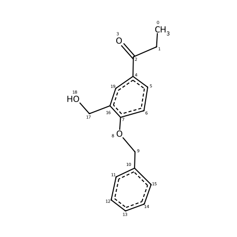 CCC(=O)c1ccc(OCc2ccccc2)c(CO)c1